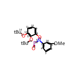 COc1cccc(N(Oc2cccc(OC(C)(C)C)c2OC(C)(C)C)P=O)c1